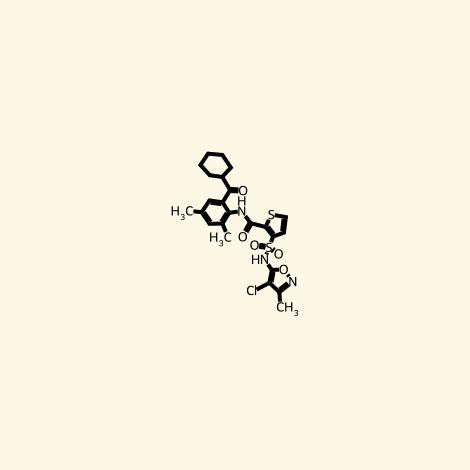 Cc1cc(C)c(NC(=O)c2sccc2S(=O)(=O)Nc2onc(C)c2Cl)c(C(=O)C2CCCCC2)c1